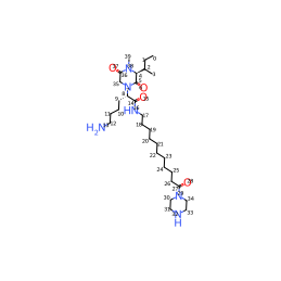 CCC(C)[C@H]1C(=O)N([C@@H](CCCCN)C(=O)NCCCCCCCCCCC(=O)N2CCNCC2)CC(=O)N1C